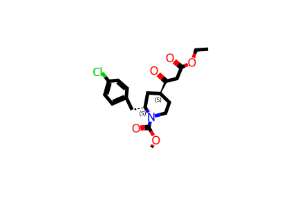 CCOC(=O)CC(=O)[C@H]1CCN(C(=O)OC)[C@H](Cc2ccc(Cl)cc2)C1